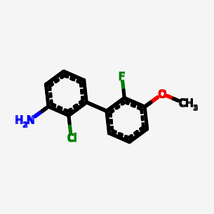 COc1cccc(-c2cccc(N)c2Cl)c1F